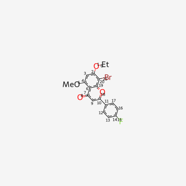 CCOc1cc(OC)c2c(=O)cc(-c3ccc(F)cc3)oc2c1Br